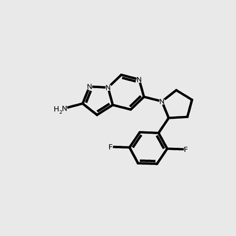 Nc1cc2cc(N3CCCC3c3cc(F)ccc3F)ncn2n1